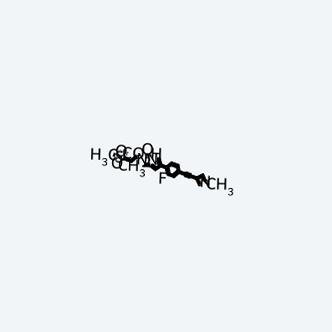 CN1CC(C#Cc2ccc(-c3cc4n(c3)C(=O)N(CC[C@](C)(C(=O)O)S(C)(=O)=O)C4)c(F)c2)C1